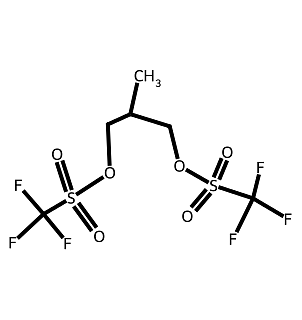 CC(COS(=O)(=O)C(F)(F)F)COS(=O)(=O)C(F)(F)F